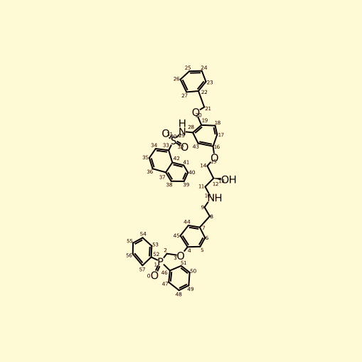 O=P(COc1ccc(CCNC[C@H](O)COc2ccc(OCc3ccccc3)c(NS(=O)(=O)c3cccc4ccccc34)c2)cc1)(c1ccccc1)c1ccccc1